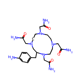 NC(=O)CN1CCN(CC(N)=O)CCN(CC(N)=O)C(Cc2ccc(N)cc2)CN(CC(N)=O)CC1